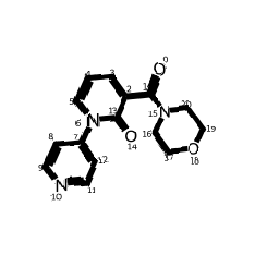 O=C(c1cccn(-c2ccncc2)c1=O)N1CCOCC1